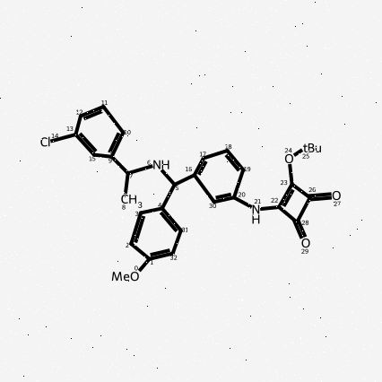 COc1ccc(C(NC(C)c2cccc(Cl)c2)c2cccc(Nc3c(OC(C)(C)C)c(=O)c3=O)c2)cc1